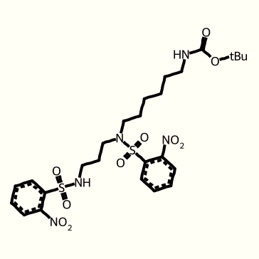 CC(C)(C)OC(=O)NCCCCCCN(CCCNS(=O)(=O)c1ccccc1[N+](=O)[O-])S(=O)(=O)c1ccccc1[N+](=O)[O-]